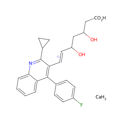 O=C(O)CC(O)CC(O)/C=C/c1c(C2CC2)nc2ccccc2c1-c1ccc(F)cc1.[CaH2]